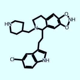 Clc1ccc2[nH]cc(CCC3c4cc5c(cc4CCN3CC3CCNCC3)ONO5)c2c1